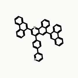 c1cncc(-c2ccc(-c3cc(-c4cc5ccccc5c5ccccc45)nc4c3cc(-c3cc5ccccc5c5ccccc35)c3ccccc34)cc2)c1